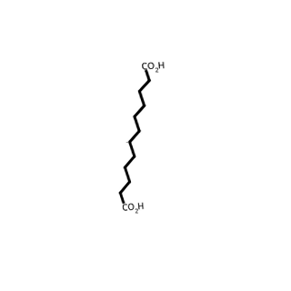 O=C(O)CCCC[CH]CCCCCC(=O)O